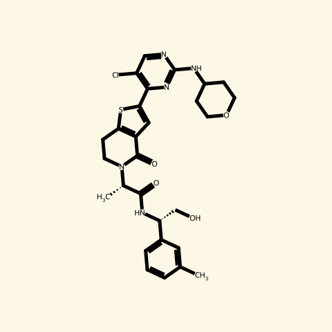 Cc1cccc([C@@H](CO)NC(=O)[C@H](C)N2CCc3sc(-c4nc(NC5CCOCC5)ncc4Cl)cc3C2=O)c1